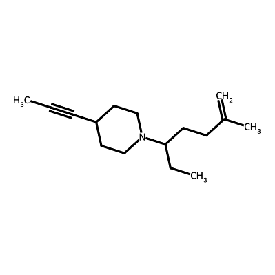 C=C(C)CCC(CC)N1CCC(C#CC)CC1